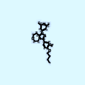 CCCCOc1ccc(-c2nc(-c3cc(C)nc(C)c3)c3n2CCOCC3)cc1F